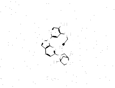 C[C@H](C#N)Nc1cc(-n2ncc3ccc(N4C[C@H]5C[C@@H]4CO5)nc32)ncc1N